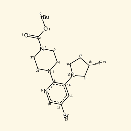 CC(C)(C)OC(=O)N1CCN(c2ncc(Br)cc2N2CC[C@H](F)C2)CC1